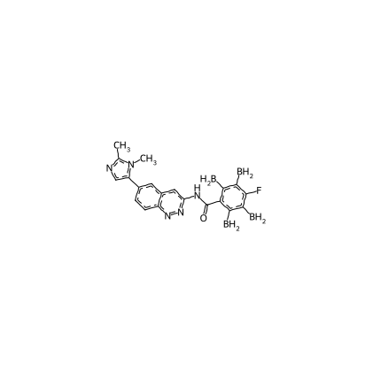 Bc1c(B)c(C(=O)Nc2cc3cc(-c4cnc(C)n4C)ccc3nn2)c(B)c(B)c1F